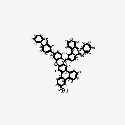 CC(C)(C)c1ccc2c(c1)c1ccccc1c1cc3c(cc21)Oc1cc(-c2ccc4c(c2)sc2ccccc24)ccc1N3c1ccc2c(c1)c1ccccc1n1c3ccccc3nc21